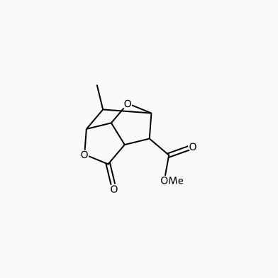 COC(=O)C1C2OC3C(OC(=O)C31)C2C